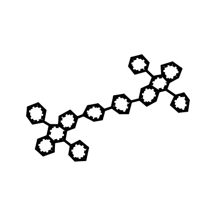 c1ccc(-c2c3ccccc3c(-c3ccccc3)c3cc(-c4ccc(-c5ccc(-c6ccc7c(-c8ccccc8)c8ccccc8c(-c8ccccc8)c7c6)cc5)cc4)ccc23)cc1